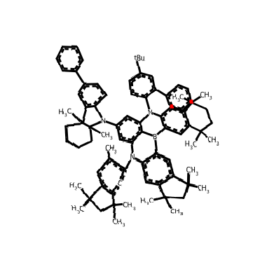 Cc1cc2c(cc1N1c3cc4c(cc3B3c5cc6c(cc5N(c5ccc(C(C)(C)C)cc5-c5ccccc5)c5cc(N7c8ccc(-c9ccccc9)cc8C8(C)CCCCC78C)cc1c53)C(C)(C)CCC6(C)C)C(C)(C)CC4(C)C)C(C)(C)CC2(C)C